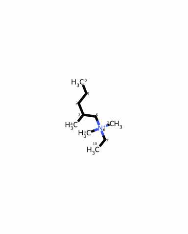 CCCC(C)C[N+](C)(C)CC